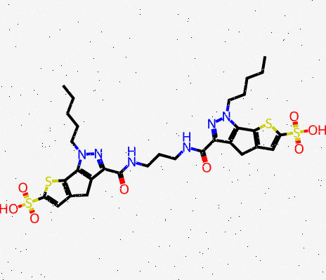 CCCCCn1nc(C(=O)NCCCNC(=O)c2nn(CCCCC)c3c2Cc2cc(S(=O)(=O)O)sc2-3)c2c1-c1sc(S(=O)(=O)O)cc1C2